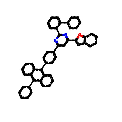 c1ccc(-c2ccccc2-c2nc(-c3ccc(-c4c5ccccc5c(-c5ccccc5)c5ccccc45)cc3)cc(-c3cc4ccccc4o3)n2)cc1